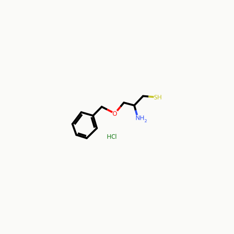 Cl.NC(CS)COCc1ccccc1